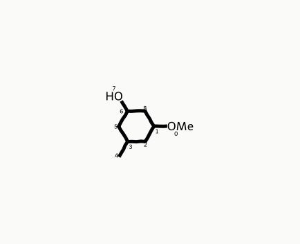 COC1CC(C)CC(O)C1